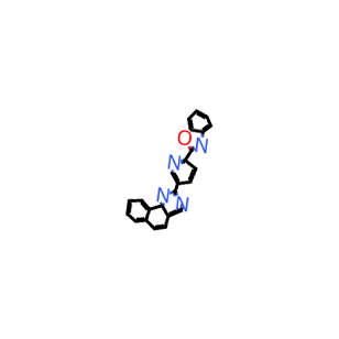 c1ccc2c(c1)ccc1cnc(-c3ccc(-c4nc5ccccc5o4)nc3)nc12